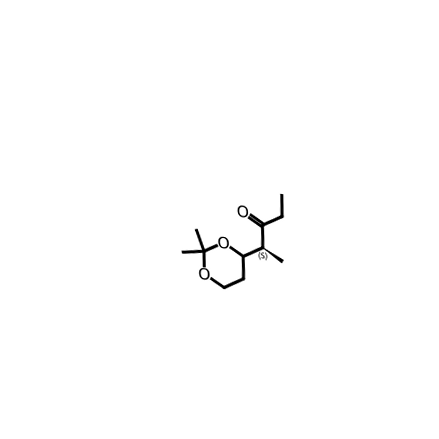 CCC(=O)[C@@H](C)C1CCOC(C)(C)O1